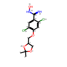 CC1(C)OCC(COc2cc(Cl)c(C(=N)NO)cc2Cl)O1